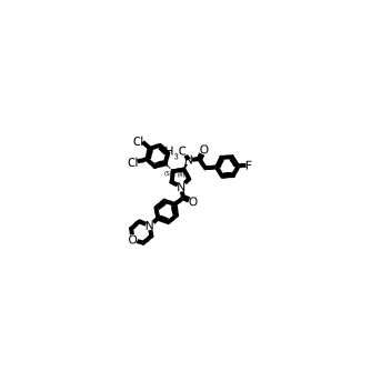 CN(C(=O)Cc1ccc(F)cc1)[C@H]1CN(C(=O)c2ccc(N3CCOCC3)cc2)C[C@@H]1c1ccc(Cl)c(Cl)c1